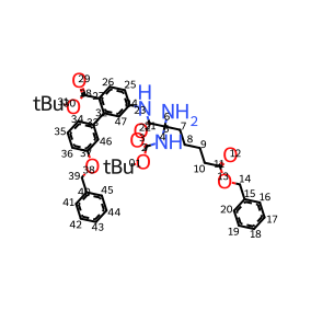 CC(C)(C)OC(=O)NC(N)(CCCCC(=O)OCc1ccccc1)C(=O)Nc1ccc(C(=O)OC(C)(C)C)c(-c2cccc(OCc3ccccc3)c2)c1